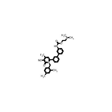 Cc1ccc(Cn2c(-c3cccc(-c4cccc(NC(=O)OCCN(C)C)c4)c3)cc(C(F)(F)F)c(C#N)c2=O)c(C)c1